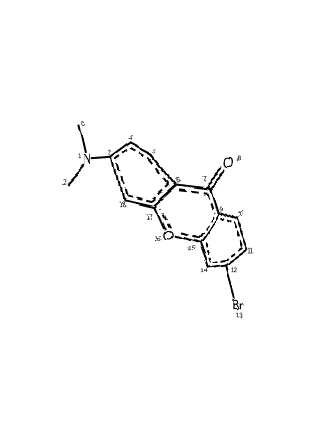 CN(C)c1ccc2c(=O)c3ccc(Br)cc3oc2c1